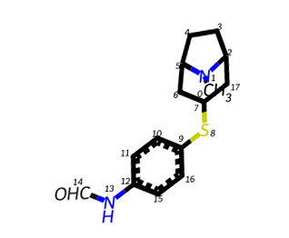 CN1C2CCC1CC(Sc1ccc(NC=O)cc1)C2